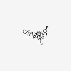 CC1(N)CN(C(=O)OC2CCCCC2)CC[C@H]1N/C=C(\C(=N)Nc1ccc(F)cc1)C(N)=O